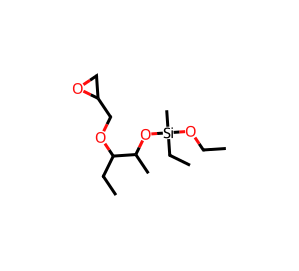 CCO[Si](C)(CC)OC(C)C(CC)OCC1CO1